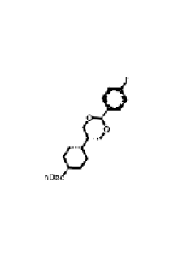 CCCCCCCCCC[C@H]1CC[C@H]([C@H]2CO[C@H](c3ccc(F)cc3)OC2)CC1